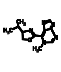 CC(C)C1COC(c2c3ncnc-3ncn2C)=N1